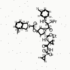 CC[C@@H]1C[C@]1(NC(=O)[C@@H]1C[C@@H](OC(=O)N2Cc3cccc(F)c3C2)CN1C(=O)[C@@H](Nc1cccc(C)c1)C(C)C)C(=O)NS(=O)(=O)C1CC1